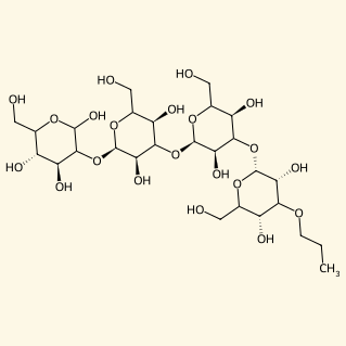 CCCOC1[C@H](O)C(CO)O[C@H](OC2[C@H](O)C(CO)O[C@H](OC3[C@H](O)C(CO)O[C@H](OC4C(O)OC(CO)[C@@H](O)[C@@H]4O)[C@@H]3O)[C@@H]2O)[C@@H]1O